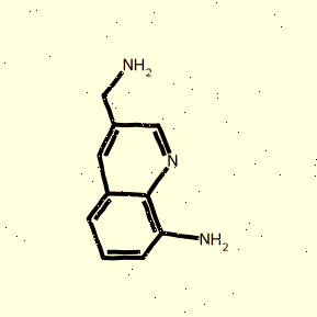 NCc1cnc2c(N)cccc2c1